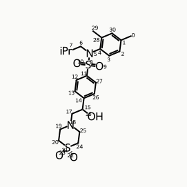 Cc1ccc(N(CC(C)C)S(=O)(=O)c2ccc(C(O)CN3CCS(=O)(=O)CC3)cc2)c(C)c1